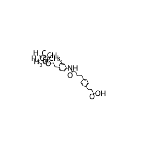 CC(C)(C)[Si](C)(C)OCCc1ccc(NC(=O)CCCc2ccc(/C=C/C(=O)O)cc2)cc1